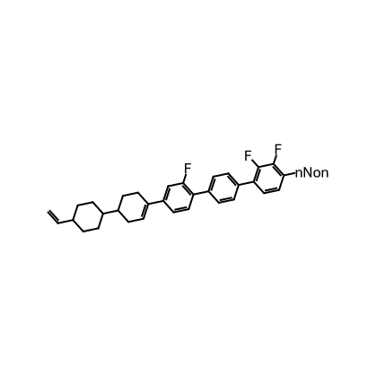 C=CC1CCC(C2CC=C(c3ccc(-c4ccc(-c5ccc(CCCCCCCCC)c(F)c5F)cc4)c(F)c3)CC2)CC1